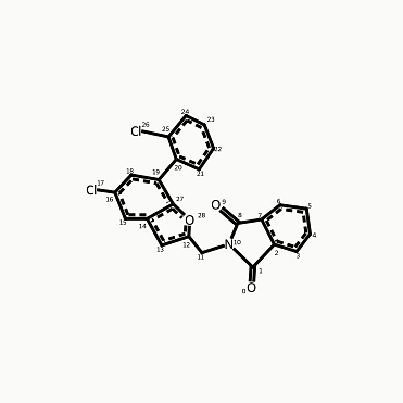 O=C1c2ccccc2C(=O)N1Cc1cc2cc(Cl)cc(-c3ccccc3Cl)c2o1